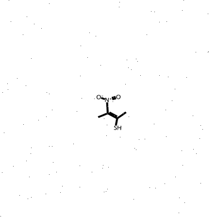 CC(S)=C(C)[N+](=O)[O-]